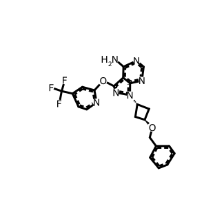 Nc1ncnc2c1c(Oc1cc(C(F)(F)F)ccn1)nn2[C@H]1C[C@H](OCc2ccccc2)C1